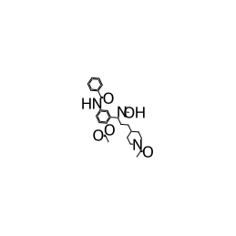 CC(=O)Oc1ccc(NC(=O)c2ccccc2)cc1C(CCC1CCN(C(C)=O)CC1)=NO